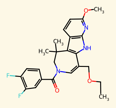 CCOCC1=CN(C(=O)c2ccc(F)c(F)c2)CC(C)(C)c2c1[nH]c1nc(OC)ccc21